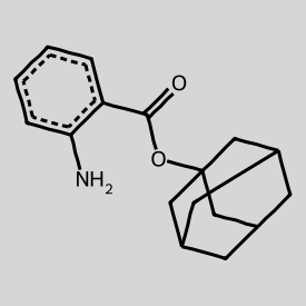 Nc1ccccc1C(=O)OC12CC3CC(CC(C3)C1)C2